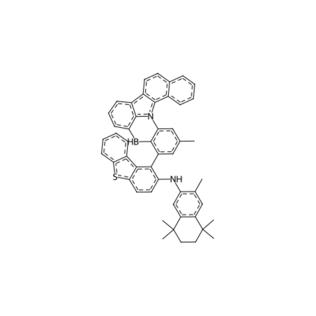 Cc1cc(-c2c(Nc3cc4c(cc3C)C(C)(C)CCC4(C)C)ccc3sc4ccccc4c23)c2c(c1)-n1c3c(cccc3c3ccc4ccccc4c31)B2